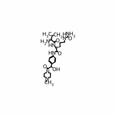 CC(C)[C@H](N)C(=O)N[C@@H](CCCNC(N)=O)C(=O)Nc1ccc(C(O)C(=O)N2CCN(C)CC2)cc1